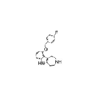 Fc1ccc(COc2cccc3[nH]c4c(c23)CCNCC4)cc1